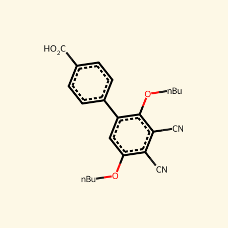 CCCCOc1cc(-c2ccc(C(=O)O)cc2)c(OCCCC)c(C#N)c1C#N